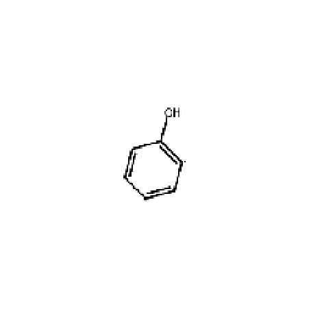 Oc1[c]c[c]cc1